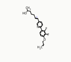 C=CCOc1ccc(-c2ccc(/C=C/CCCC(C)O)cn2)c(F)c1F